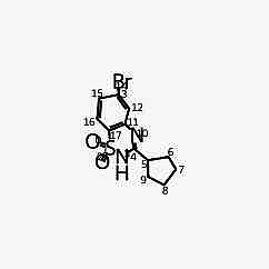 O=S1(=O)NC(C2CCCC2)=Nc2cc(Br)ccc21